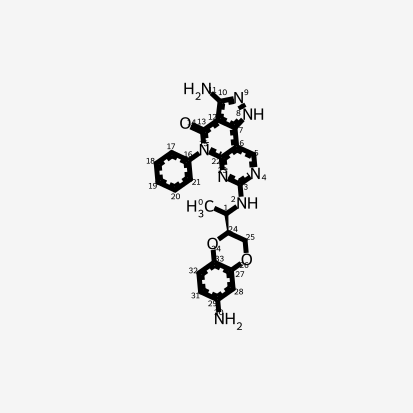 CC(Nc1ncc2c3[nH]nc(N)c3c(=O)n(-c3ccccc3)c2n1)[C@H]1COc2cc(N)ccc2O1